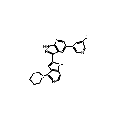 Oc1cncc(-c2cnc3[nH]nc(-c4cc5c(N6CCCCC6)nccc5[nH]4)c3c2)c1